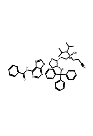 CC(C)N(C(C)C)[PH](O)(CCC#N)OC[C@H]1O[C@@H](n2cnc3c(NC(=O)c4ccccc4)ncnc32)C[C@@H]1NC(c1ccccc1)(c1ccccc1)c1ccccc1